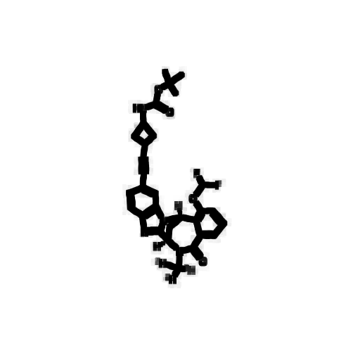 [2H]C([2H])([2H])N1C(=O)c2cccc(OC(F)F)c2[C@H]2C[C@@H]1c1nc3ccc(C#CC4CC(NC(=O)OC(C)(C)C)C4)cc3n12